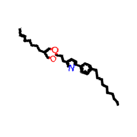 CCCCCCCCCCc1ccc(-c2ccc(CCC3OCC(CCCCCCCC)CO3)cn2)cc1